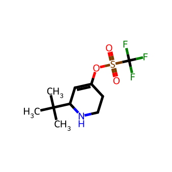 CC(C)(C)C1C=C(OS(=O)(=O)C(F)(F)F)CCN1